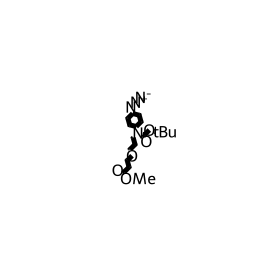 COC(=O)CCOCCCN(C(=O)OC(C)(C)C)C1CCC(N=[N+]=[N-])CC1